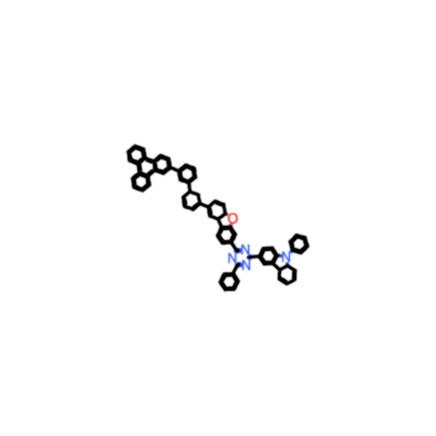 C1=CC(c2cccc(-c3ccc4c5ccccc5c5ccccc5c4c3)c2)CC(C2=CC3c4ccc(-c5nc(-c6ccccc6)nc(-c6ccc7c(c6)C6C=CC=CC6N7c6ccccc6)n5)cc4OC3C=C2)=C1